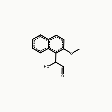 COc1ccc2ccccc2c1C(O)C=O